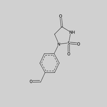 O=Cc1ccc(N2CC(=O)NS2(=O)=O)cc1